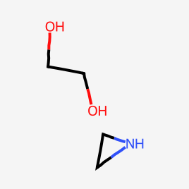 C1CN1.OCCO